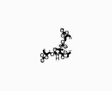 Cc1oc(=O)oc1COC(=O)N[C@@H](C(=O)OC(C)C)C(C)(C)SC(=O)OCc1oc(=O)oc1C